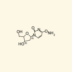 NOc1ccn([C@H]2C[C@@H](O)C(CO)O2)c(=O)n1